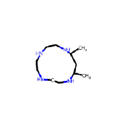 CC1CC(C)NCCNCCNCCN1